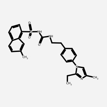 CCc1nc(C)cn1-c1ccc(CCNC(=O)NS(=O)(=O)c2cccc3ccc(C)cc23)cc1